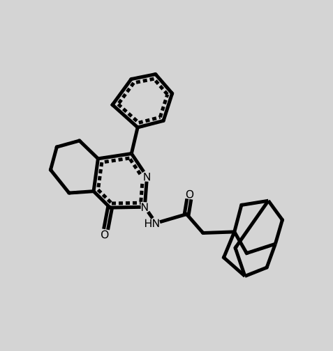 O=C(CC12CC3CC(CC(C3)C1)C2)Nn1nc(-c2ccccc2)c2c(c1=O)CCCC2